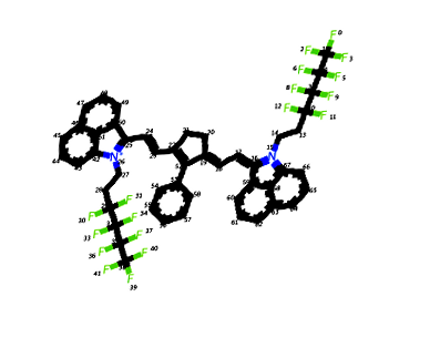 FC(F)(F)C(F)(F)C(F)(F)C(F)(F)CCn1/c(=C/C=C2\CCC(/C=C/C3=[N+](CCC(F)(F)C(F)(F)C(F)(F)C(F)(F)F)c4cccc5cccc3c45)=C2c2ccccc2)c2cccc3cccc1c32